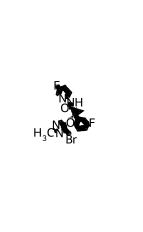 Cc1ncc(OC[C@@]2(c3cccc(F)c3)C[C@H]2C(=O)Nc2ccc(F)cn2)c(CBr)n1